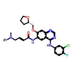 CC(C)N(C)CC=CC(=O)Nc1cc2c(Nc3ccc(F)c(Cl)c3)ncnc2cc1OC[C@@H]1CCCO1